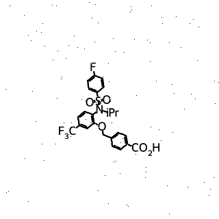 CC(C)N(c1ccc(C(F)(F)F)cc1OCc1ccc(C(=O)O)cc1)S(=O)(=O)c1ccc(F)cc1